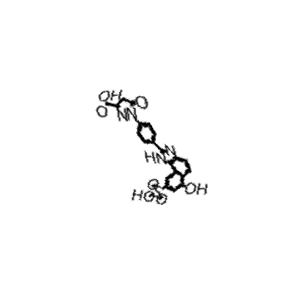 O=C(O)C1=NN(c2ccc(-c3nc4ccc5c(O)cc(S(=O)(=O)O)cc5c4[nH]3)cc2)C(=O)C1